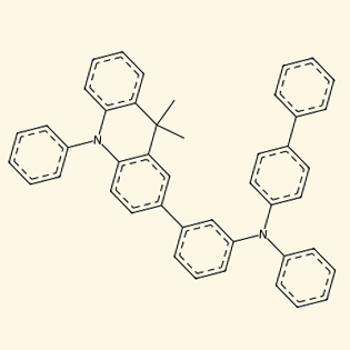 CC1(C)c2ccccc2N(c2ccccc2)c2ccc(-c3cccc(N(c4ccccc4)c4ccc(-c5ccccc5)cc4)c3)cc21